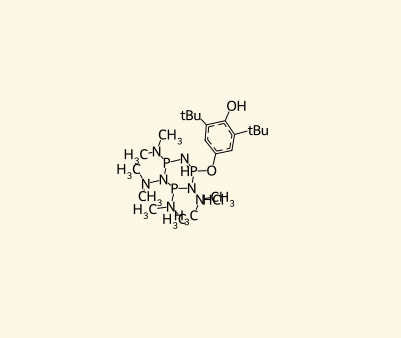 CN(C)N1P(N(C)C)N=[PH](Oc2cc(C(C)(C)C)c(O)c(C(C)(C)C)c2)N(N(C)C)P1N(C)C.Cl